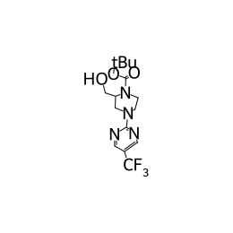 CC(C)(C)OC(=O)N1CCN(c2ncc(C(F)(F)F)cn2)CC1CO